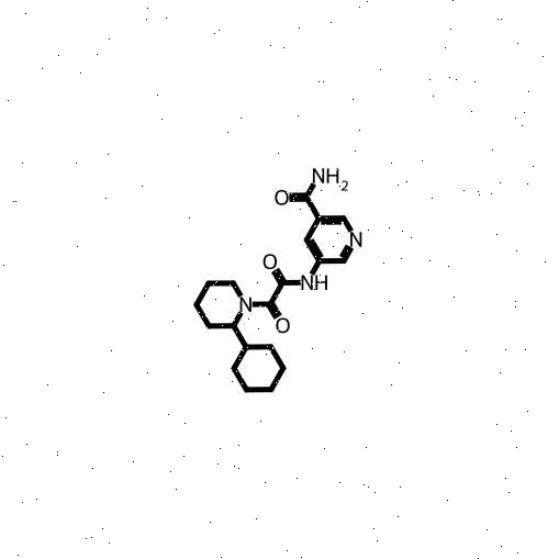 NC(=O)c1cncc(NC(=O)C(=O)N2CCCCC2C2CCCCC2)c1